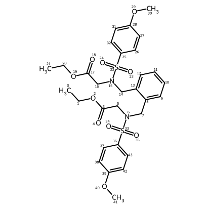 CCOC(=O)CN(Cc1ccccc1CN(CC(=O)OCC)S(=O)(=O)c1ccc(OC)cc1)S(=O)(=O)c1ccc(OC)cc1